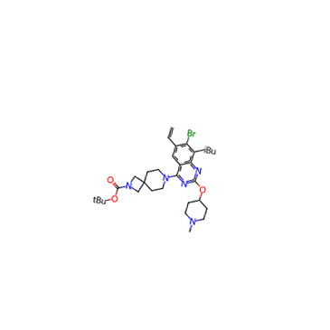 C=Cc1cc2c(N3CCC4(CC3)CN(C(=O)OC(C)(C)C)C4)nc(OC3CCN(C)CC3)nc2c(C(C)CC)c1Br